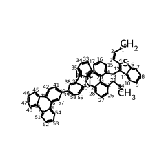 C=C/C=C\c1sc2ccccc2c1Cc1cccc(C)c1-c1c(CCC)cccc1-n1c2ccccc2c2cc(-c3ccc4c5ccccc5c5ccccc5c4c3)ccc21